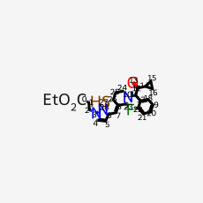 CCOC(=O)CCn1ccc(C=C2CN(C(C(=O)C3CC3)c3ccccc3F)CC[C@H]2S)n1